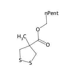 CCCCCCOC(=O)C1(C)CSSC1